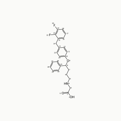 O=C(O)CNCCCC(Oc1ccc(Cc2cccc(F)c2F)cc1)c1ccccc1